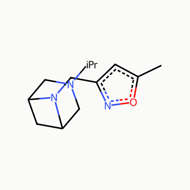 Cc1cc(CN2C3CC2CN(C(C)C)C3)no1